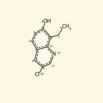 CCc1c(O)ccc2cc(Cl)cnc12